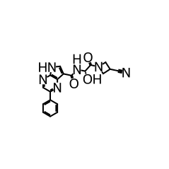 N#CC1CN(C(=O)[C@@H](O)NC(=O)c2c[nH]c3ncc(-c4ccccc4)nc23)C1